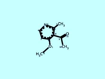 COc1ccnc(C)c1C(C)=O